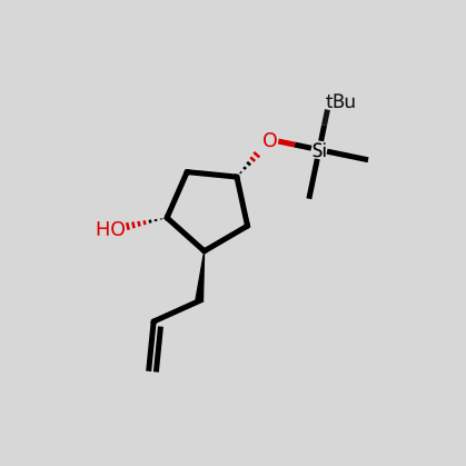 C=CC[C@@H]1C[C@@H](O[Si](C)(C)C(C)(C)C)C[C@H]1O